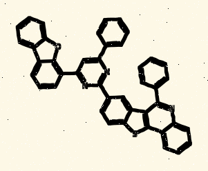 c1ccc(-c2cc(-c3cccc4c3oc3ccccc34)nc(-c3ccc4sc5c6ccccc6nc(-c6ccccc6)c5c4c3)n2)cc1